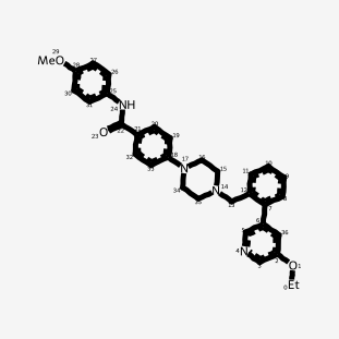 CCOc1cncc(-c2ccccc2CN2CCN(c3ccc(C(=O)Nc4ccc(OC)cc4)cc3)CC2)c1